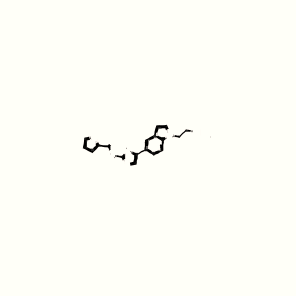 CCCn1ccc2cc(-c3csc(NC(=O)c4ccco4)n3)ccc21